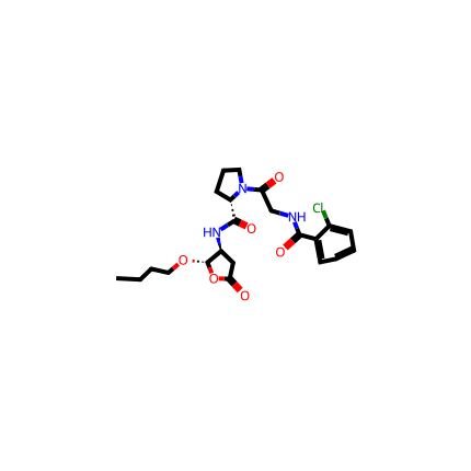 CCCCO[C@H]1OC(=O)C[C@@H]1NC(=O)[C@@H]1CCCN1C(=O)CNC(=O)c1ccccc1Cl